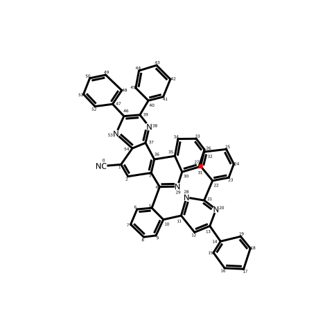 N#Cc1cc2c(-c3ccccc3-c3cc(-c4ccccc4)nc(-c4ccccc4)n3)nc3ccccc3c2c2nc(-c3ccccc3)c(-c3ccccc3)nc12